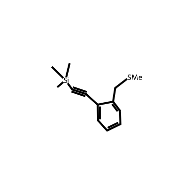 CSCc1ccccc1C#C[Si](C)(C)C